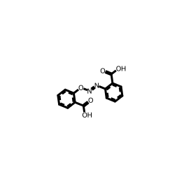 O=C(O)c1ccccc1N=NOc1ccccc1C(=O)O